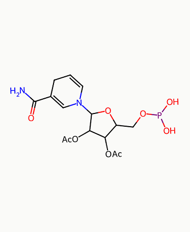 CC(=O)OC1C(COP(O)O)OC(N2C=CCC(C(N)=O)=C2)C1OC(C)=O